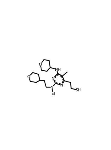 CCN(CCC1CCOCC1)c1nc(CCS)c(C)c(NC2CCOCC2)n1